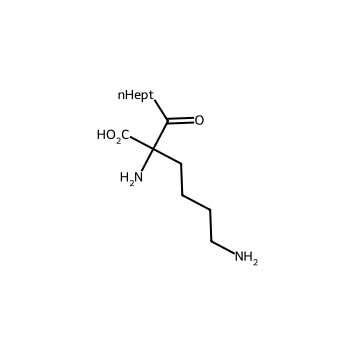 CCCCCCCC(=O)C(N)(CCCCN)C(=O)O